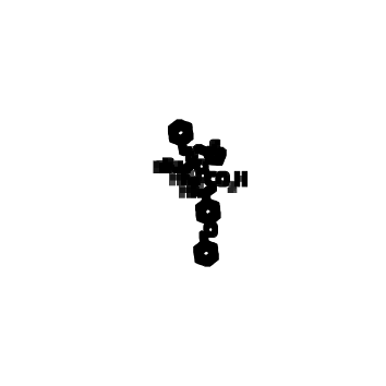 CCCC[C@H](NC(=O)NC(CC(=O)O)c1ccc(OCc2ccccc2)cc1)C(=O)N(Cc1ccccc1)Cc1cccs1